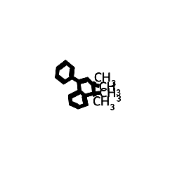 CC1(C)C=C(c2ccccc2)c2ccccc2C1(C)C